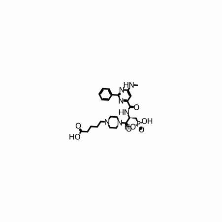 CNc1cc(C(=O)N[C@@H](CP(=O)(O)O)C(=O)N2CCN(CCCCC(=O)O)CC2)nc(-c2ccccc2)n1